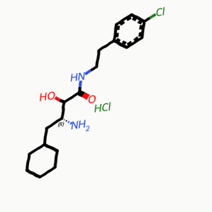 Cl.N[C@H](CC1CCCCC1)C(O)C(=O)NCCc1ccc(Cl)cc1